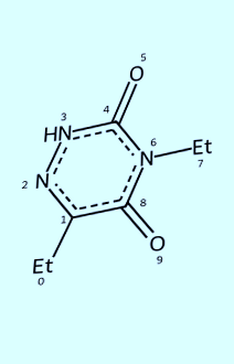 CCc1n[nH]c(=O)n(CC)c1=O